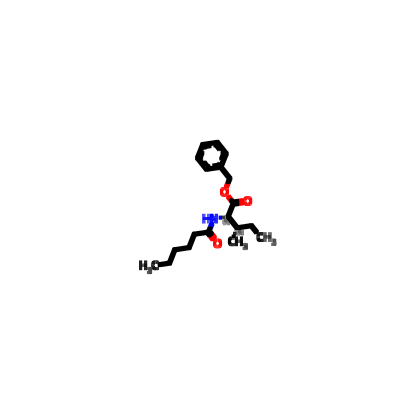 CCCCCC(=O)N[C@H](C(=O)OCc1ccccc1)[C@@H](C)CC